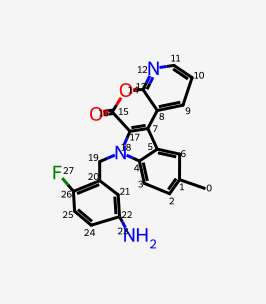 Cc1ccc2c(c1)c1c3cccnc3oc(=O)c1n2Cc1cc(N)ccc1F